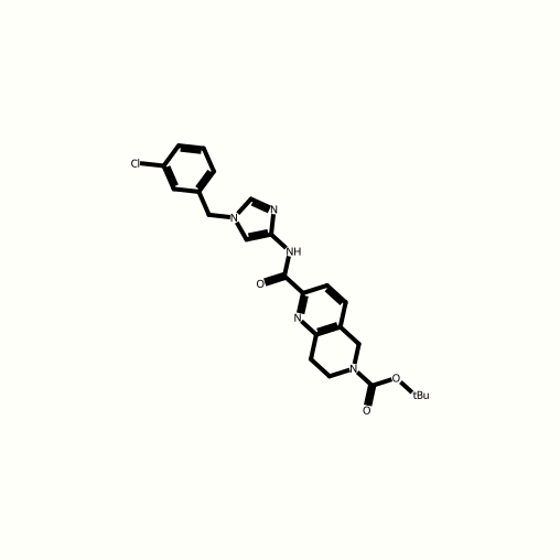 CC(C)(C)OC(=O)N1CCc2nc(C(=O)Nc3cn(Cc4cccc(Cl)c4)cn3)ccc2C1